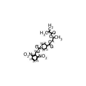 C=C(C)C(=O)OC(C)COC(=O)C1CCN(C(=O)OCc2c([N+](=O)[O-])cccc2[N+](=O)[O-])CC1